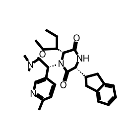 CCC(CC)[C@@H]1C(=O)N[C@H](C2Cc3ccccc3C2)C(=O)N1[C@@H](C(=O)N(C)C)c1ccc(C)nc1